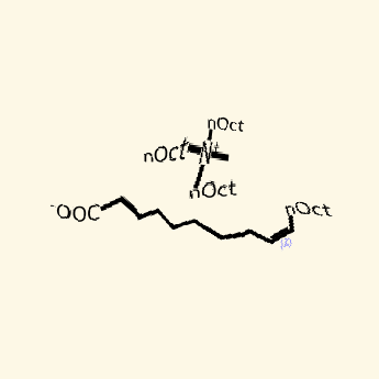 CCCCCCCC/C=C\CCCCCCCC(=O)[O-].CCCCCCCC[N+](C)(CCCCCCCC)CCCCCCCC